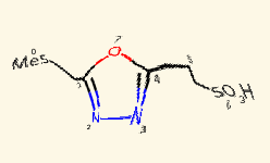 CSc1nnc(CS(=O)(=O)O)o1